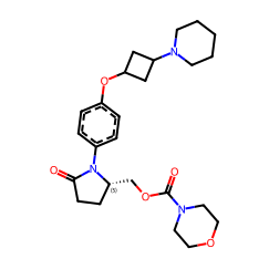 O=C(OC[C@@H]1CCC(=O)N1c1ccc(OC2CC(N3CCCCC3)C2)cc1)N1CCOCC1